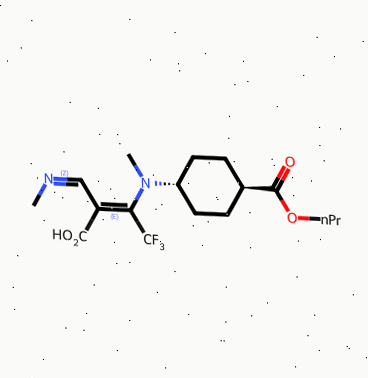 CCCOC(=O)[C@H]1CC[C@H](N(C)/C(=C(\C=N/C)C(=O)O)C(F)(F)F)CC1